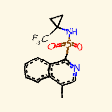 Cc1cnc(S(=O)(=O)NC2(C(F)(F)F)CC2)c2ccccc12